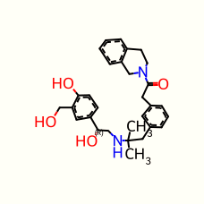 CC(C)(Cc1cccc(CC(=O)N2CCc3ccccc3C2)c1)NC[C@H](O)c1ccc(O)c(CO)c1